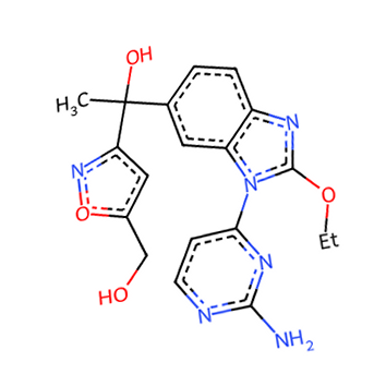 CCOc1nc2ccc(C(C)(O)c3cc(CO)on3)cc2n1-c1ccnc(N)n1